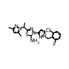 Cc1cc(C)n(C(C)C2=NN(c3ccn(Cc4c(F)cccc4Cl)n3)C(N)S2)n1